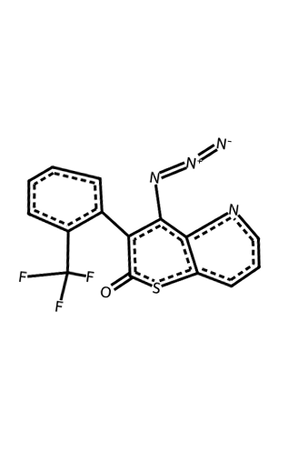 [N-]=[N+]=Nc1c(-c2ccccc2C(F)(F)F)c(=O)sc2cccnc12